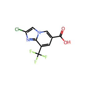 O=C(O)c1cc(C(F)(F)F)c2nc(Cl)cn2c1